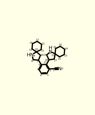 N#Cc1cccc(C2CNC3(CCCCC3)C2)c1C1CNC2(CCCCC2)C1